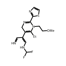 CCC1=C(/C(C=N)=C/NC(F)F)CN=C(c2nccs2)N1CCOC